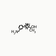 C[C@H](O)c1nnn(-c2cccc(CN)c2)n1